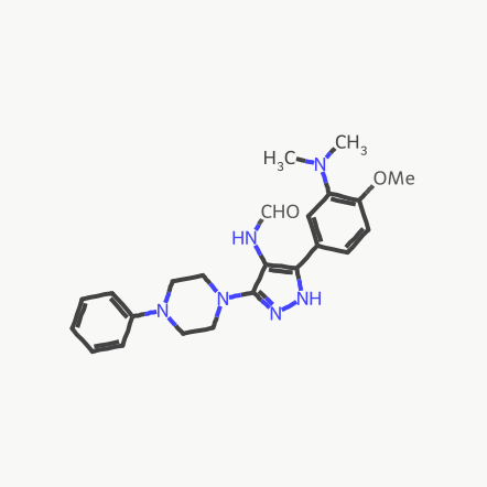 COc1ccc(-c2[nH]nc(N3CCN(c4ccccc4)CC3)c2NC=O)cc1N(C)C